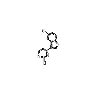 Clc1ccc2ncn(-c3ccnc(Cl)n3)c2c1